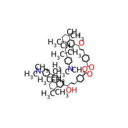 CN(C)c1ccc(C(C)(C)Cc2cc(C(=O)C=Cc3ccc(C(=O)OC(=O)c4ccc(C=CC(O)c5cc(CC(C)(C)c6ccc(N(C)C)cc6)c6c(c5)C(C)(C)CCC6(C)C)cc4)cc3)cc3c2C(C)(C)CCC3(C)C)cc1